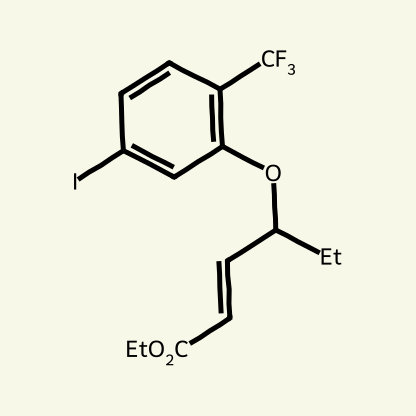 CCOC(=O)C=CC(CC)Oc1cc(I)ccc1C(F)(F)F